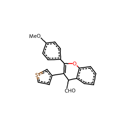 COc1ccc(C2=C(c3ccsc3)C(C=O)c3ccccc3O2)cc1